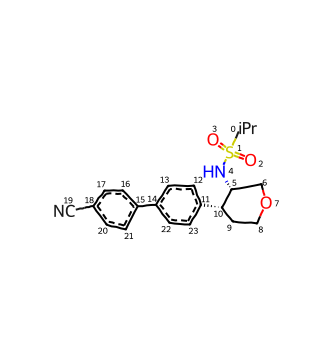 CC(C)S(=O)(=O)N[C@@H]1COCC[C@@H]1c1ccc(-c2ccc(C#N)cc2)cc1